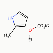 CCOC(=O)OCC.Cc1ccc[nH]1